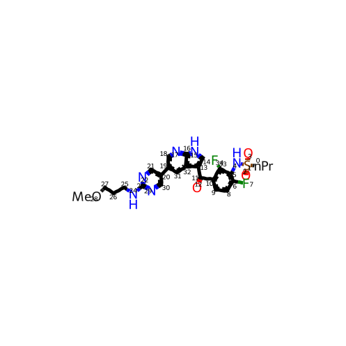 CCCS(=O)(=O)Nc1c(F)ccc(C(=O)c2c[nH]c3ncc(-c4cnc(NCCCOC)nc4)cc23)c1F